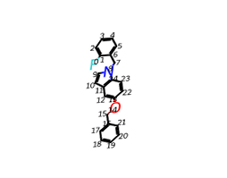 Fc1ccccc1Cn1ccc2cc(OCc3ccccc3)ccc21